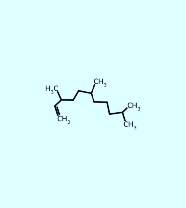 C=CC(C)CCC(C)CCCC(C)C